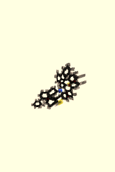 c1ccc(-c2ccc3ccc(N(c4ccc5c(c4-c4ccccc4-c4ccccc4)Sc4ccccc4C54c5ccccc5-c5ccccc54)c4cccc5sc6ccccc6c45)cc3c2)cc1